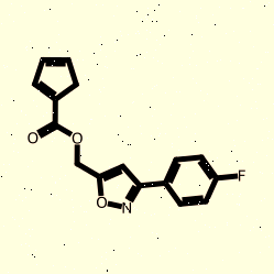 O=C(OCc1cc(-c2ccc(F)cc2)no1)C1=CC=CC1